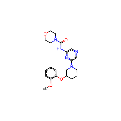 CCOc1ccccc1OC1CCCN(c2cncc(NC(=O)N3CCOCC3)n2)C1